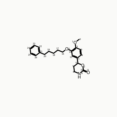 COc1ccc(C2CCNC(=O)O2)cc1OCCCCCc1ccccc1